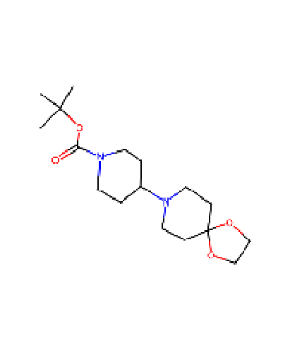 CC(C)(C)OC(=O)N1CCC(N2CCC3(CC2)OCCO3)CC1